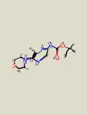 CC(C)(C)OC(=O)Nc1cnc(N2CCOCC2)cn1